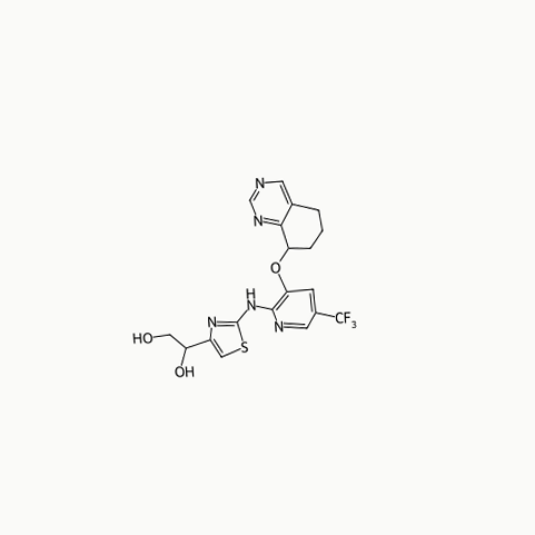 OCC(O)c1csc(Nc2ncc(C(F)(F)F)cc2OC2CCCc3cncnc32)n1